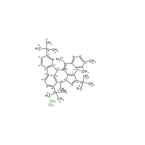 CCC1=[C](/[Zr+2](=[C](/C)c2ccc(C)cc2)[CH]2c3cc(C(C)(C)C)ccc3-c3ccc(C(C)(C)C)cc32)C(CC)C=C1C(C)(C)C.[Cl-].[Cl-]